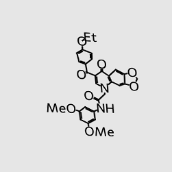 CCOc1ccc(C(=O)c2cn(CC(=O)Nc3cc(OC)cc(OC)c3)c3cc4c(cc3c2=O)OCO4)cc1